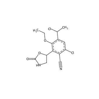 CCOc1c(C(C)Cl)cc(Cl)c(C#N)c1C1CNC(=O)O1